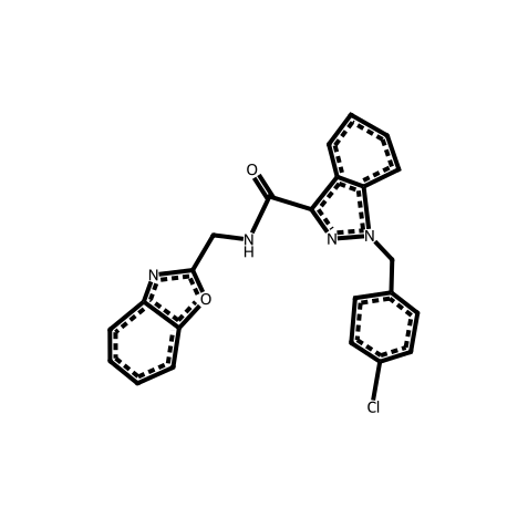 O=C(NCc1nc2ccccc2o1)c1nn(Cc2ccc(Cl)cc2)c2ccccc12